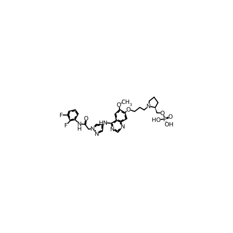 COc1cc2c(Nc3cnn(CC(=O)Nc4cccc(F)c4F)c3)ncnc2cc1OCCCN1CCC[C@H]1COP(=O)(O)O